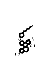 Cc1ccc(C2=C(c3ccc(OC4CCC(CCCCCF)CC4)cc3)c3ccc(O)cc3CCC2)c(O)c1